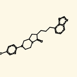 O=C1C(CCCc2cccc3ncsc23)CC2CN(c3ccc(Cl)cn3)CCN12